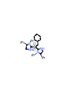 CC(C)c1c[nH][c](=[Ru]([Cl])([Cl])(=[CH]c2ccccc2)=[c]2[nH]cc(C(C)C)n2C(C)C)n1C(C)C